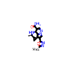 CSc1nnc(-c2cc3c(N[C@H](C)C4CC4)c(C(N)=O)cnn3c2)o1